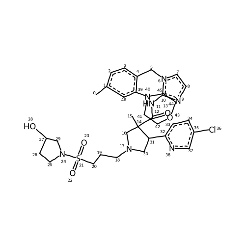 Cc1ccc(Cn2ccnc2NC(=O)C2(C)CN(CCCS(=O)(=O)N3CCC(O)C3)CC2c2ccc(Cl)cn2)c(N2CCOCC2)c1